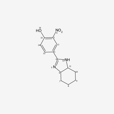 O=[N+]([O-])c1cc(C2=NC3CCCCC3N2)ccc1O